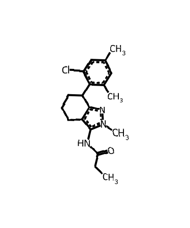 CCC(=O)Nc1c2c(nn1C)C(c1c(C)cc(C)cc1Cl)CCC2